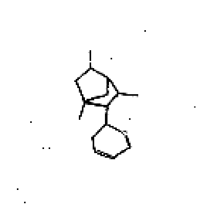 CC1CC2(C)CC1C(C)C2C1CC=CCO1